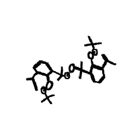 C=C(C)c1cccc(C(C)(C)OOC(C)(C)c2cccc(C(=C)C)c2OOC(C)(C)C)c1OOC(C)(C)C